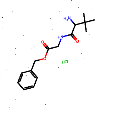 CC(C)(C)C(N)C(=O)NCC(=O)OCc1ccccc1.Cl